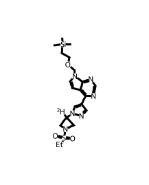 [2H]C1(n2cc(-c3ncnc4c3ccn4COCC[Si](C)(C)C)cn2)CN(S(=O)(=O)CC)C1